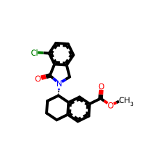 COC(=O)c1ccc2c(c1)[C@@H](N1Cc3cccc(Cl)c3C1=O)CCC2